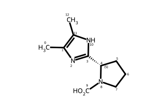 Cc1nc([C@@H]2CCCN2C(=O)O)[nH]c1C